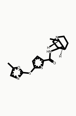 Cc1cnc(Sc2ccc(C(=O)N[C@@H]3C4CCN(CC4)[C@H]3C)s2)o1